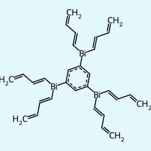 C=CC=[CH][Bi]([CH]=CC=C)[c]1c[c]([Bi]([CH]=CC=C)[CH]=CC=C)c[c]([Bi]([CH]=CC=C)[CH]=CC=C)c1